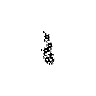 N#CCC1(Cn2c(Cc3cc(F)c(-c4cccc(OCc5ccc(C#N)cc5F)n4)cc3F)nc3ccc(C(=O)O)nc32)CC1